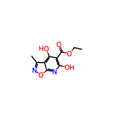 CCOC(=O)c1c(O)nc2onc(C)c2c1O